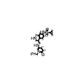 CC(C)Cn1cc(N/C=C(\C=N)c2ccc(NS(=O)(=O)C3CC3)cc2F)ccc1=O